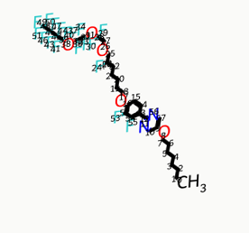 CCCCCCCCOc1cnc(-c2ccc(OCCCCC[C@@H](F)COCC(F)(F)OC(F)(F)C(F)(F)OC(F)(F)C(F)(F)C(F)(F)C(F)(F)F)c(F)c2F)nc1